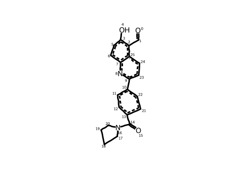 O=Cc1c(O)ccc2nc(-c3ccc(C(=O)N4CCCC4)cc3)ccc12